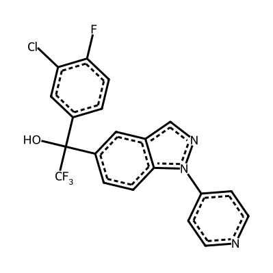 OC(c1ccc(F)c(Cl)c1)(c1ccc2c(cnn2-c2ccncc2)c1)C(F)(F)F